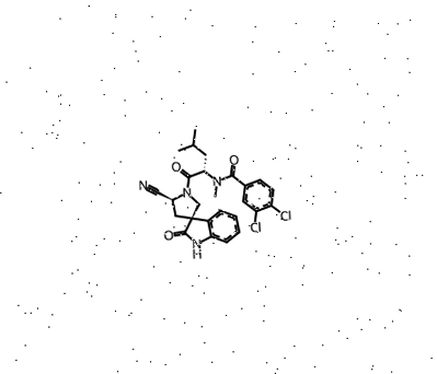 CC(C)C[C@@H](C(=O)N1C[C@]2(C[C@H]1C#N)C(=O)Nc1ccccc12)N(C)C(=O)c1ccc(Cl)c(Cl)c1